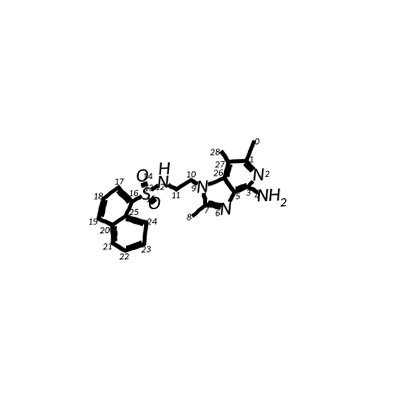 Cc1nc(N)c2nc(C)n(CCNS(=O)(=O)c3cccc4ccccc34)c2c1C